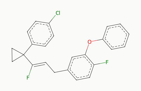 FC(=CCc1ccc(F)c(Oc2ccccc2)c1)C1(c2ccc(Cl)cc2)CC1